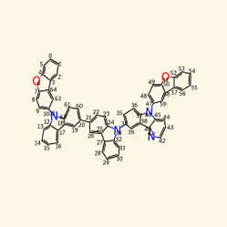 c1ccc2c(c1)oc1ccc(-n3c4ccccc4c4cc(-c5ccc6c(c5)c5ccccc5n6-c5ccc6c(c5)c5ncccc5n6-c5ccc6oc7ccccc7c6c5)ccc43)cc12